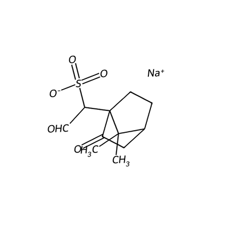 CC1(C)C2CCC1(C(C=O)S(=O)(=O)[O-])C(=O)C2.[Na+]